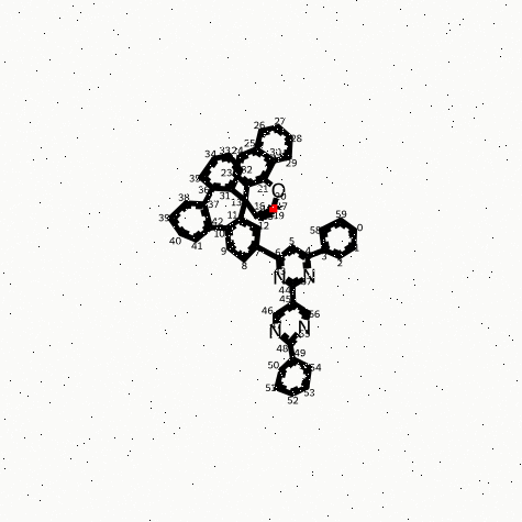 c1ccc(-c2cc(-c3ccc4c(c3)C3(c5ccccc5Oc5c3ccc3ccccc53)c3ccccc3-c3ccccc3-4)nc(-c3cnc(-c4ccccc4)nc3)n2)cc1